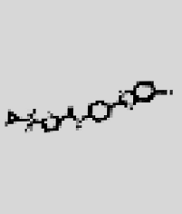 O=C(NC1CCC(c2nc3cc(Cl)ccc3s2)CC1)c1ccc(S(=O)(=O)C2CC2)o1